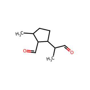 CC(C=O)C1CCC(C)C1C=O